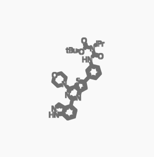 CC(C)N(C(=O)Nc1cccc(-c2cc3nc(-c4cccc5[nH]ncc45)nc(N4CCOCC4)c3s2)c1)C(=O)OC(C)(C)C